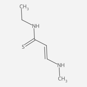 CCNC(=S)/C=C/NC